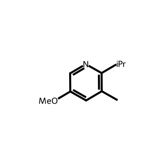 COc1cnc(C(C)C)c(C)c1